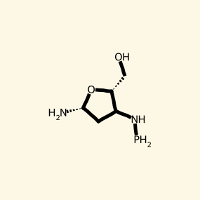 N[C@H]1CC(NP)[C@@H](CO)O1